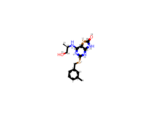 Cc1cccc(CSc2nc(N[C@H](C)CO)c3sc(=O)[nH]c3n2)c1